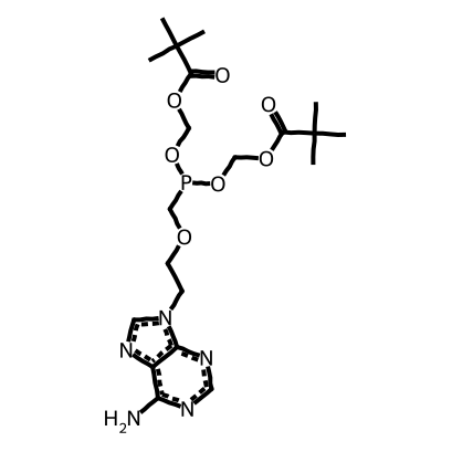 CC(C)(C)C(=O)OCOP(COCCn1cnc2c(N)ncnc21)OCOC(=O)C(C)(C)C